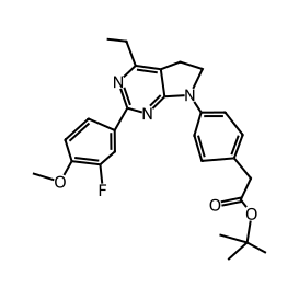 CCc1nc(-c2ccc(OC)c(F)c2)nc2c1CCN2c1ccc(CC(=O)OC(C)(C)C)cc1